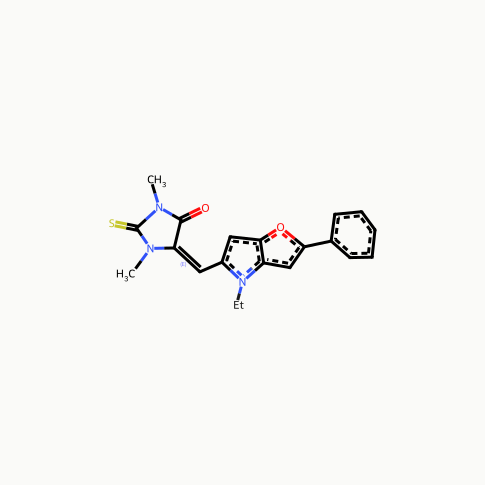 CCn1c(/C=C2\C(=O)N(C)C(=S)N2C)cc2oc(-c3ccccc3)cc21